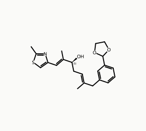 CC(=CC[C@H](O)C(C)=Cc1csc(C)n1)Cc1cccc(C2OCCO2)c1